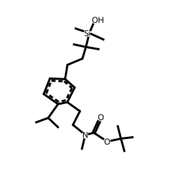 CC(C)c1ccc(CCC(C)(C)[Si](C)(C)O)cc1CCN(C)C(=O)OC(C)(C)C